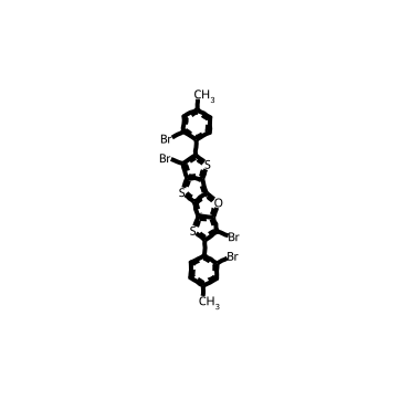 Cc1ccc(-c2sc3c(oc4c5sc(-c6ccc(C)cc6Br)c(Br)c5sc43)c2Br)c(Br)c1